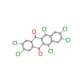 O=C1c2cc(Cl)c(Cl)cc2C(=O)c2c1c(Cl)c1cc(Cl)c(Cl)cc1c2Cl